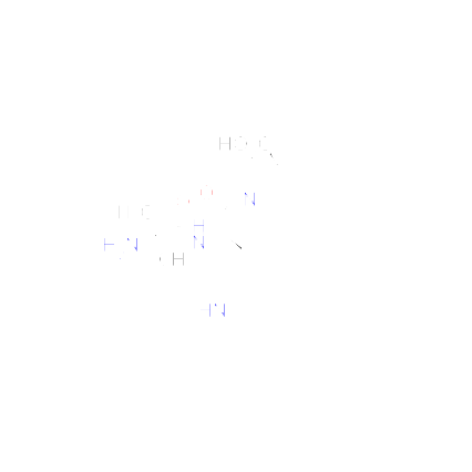 CC(C)(N)C(=O)N[C@H](Cc1c[nH]c2ccccc12)C(=O)N1CCC[C@](Cc2ccccc2)(C(=O)O)C1